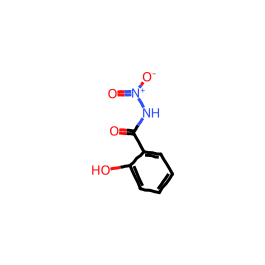 O=C(N[N+](=O)[O-])c1ccccc1O